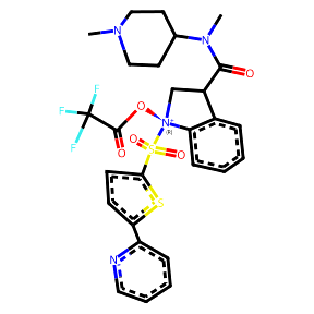 CN1CCC(N(C)C(=O)C2C[N@@+](OC(=O)C(F)(F)F)(S(=O)(=O)c3ccc(-c4ccccn4)s3)c3ccccc32)CC1